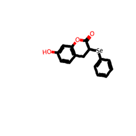 O=C1Oc2cc(O)ccc2CC1[Se]c1ccccc1